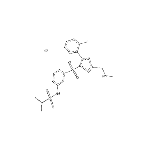 CNCc1cc(-c2ccccc2F)n(S(=O)(=O)c2cccc(NS(=O)(=O)C(C)C)c2)c1.Cl